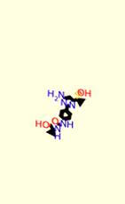 Nc1cc(C2(SO)CC2)nc(-c2ccc(NC(=O)NC3(CO)CC3)cc2)n1